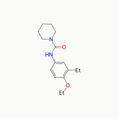 CCOc1ccc(NC(=O)N2CCCCC2)cc1CC